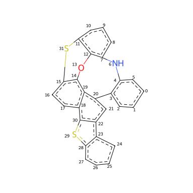 c1ccc2c(c1)Nc1cccc3c1Oc1c(ccc4c1c-2cc1c2ccccc2sc41)S3